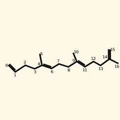 C=CCC/C(C)=C/CC/C(C)=C/CCC(=C)C